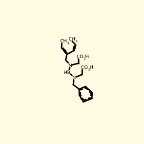 C/C=C\C(=C/C)CN(BN(CC(=O)O)Cc1ccccc1)CC(=O)O